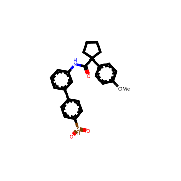 COc1ccc(C2(C(=O)Nc3cccc(-c4ccc([SH](=O)=O)cc4)c3)CCCC2)cc1